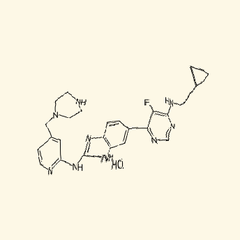 Cl.Fc1c(NCC2CC2)ncnc1-c1ccc2nc(Nc3cc(CN4CCNCC4)ccn3)[nH]c2c1